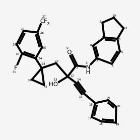 O=C(Nc1ccc2c(c1)CCC2)C(O)(C#Cc1ccccc1)CC1(c2cc(C(F)(F)F)ccc2F)CC1